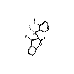 CC[C@H](c1ccccc1OC)c1c(O)c2ccccc2oc1=O